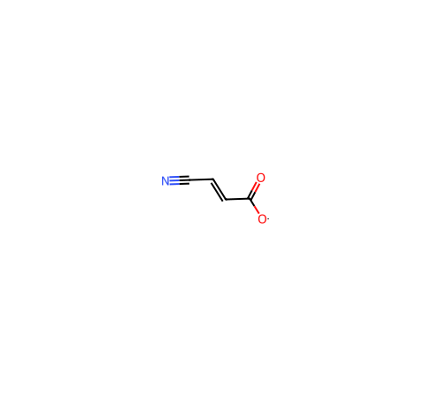 N#CC=CC([O])=O